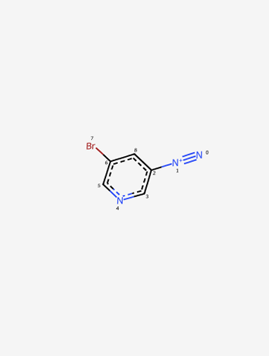 N#[N+]c1cncc(Br)c1